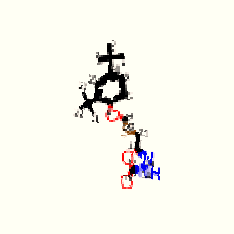 CC(C)(C)c1ccc(OCSCc2n[nH]c(=O)o2)c(C(C)(C)C)c1